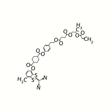 C=CC(=O)OC(C)COC(=O)CCC(=O)OCCc1ccc(OC(=O)C2CCC(C(=O)Oc3ccc(C)c4c3SC(=C(C#N)C#N)S4)CC2)cc1